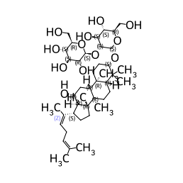 CC(C)=CC/C=C(/C)[C@H]1CC[C@]2(C)[C@@H]1[C@H](O)C[C@@H]1[C@@]3(C)CC[C@H](O[C@H]4O[C@H](CO)[C@@H](O)[C@H](O)[C@H]4O[C@@H]4O[C@H](CO)[C@@H](O)[C@H](O)[C@H]4O)C(C)(C)[C@@H]3CC[C@]12C